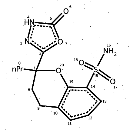 CCCC1(c2n[nH]c(=O)o2)CCc2cccc(S(N)(=O)=O)c2O1